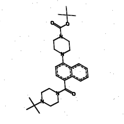 CC(C)(C)OC(=O)N1CCN(c2ccc(C(=O)N3CCN(C(C)(C)C)CC3)c3ccccc23)CC1